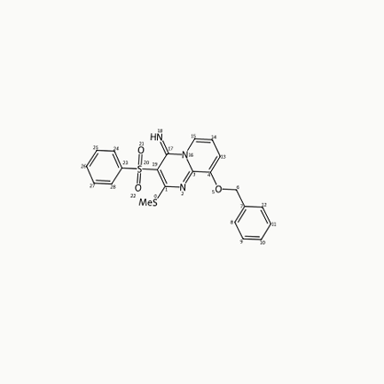 CSc1nc2c(OCc3ccccc3)cccn2c(=N)c1S(=O)(=O)c1ccccc1